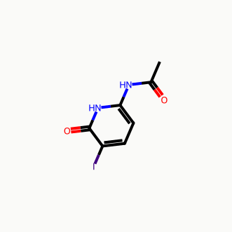 CC(=O)Nc1ccc(I)c(=O)[nH]1